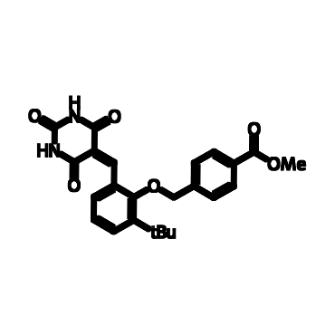 COC(=O)c1ccc(COc2c(C=C3C(=O)NC(=O)NC3=O)cccc2C(C)(C)C)cc1